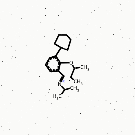 CCC(C)Oc1c(/C=N/C(C)C)cccc1C1CCCCC1